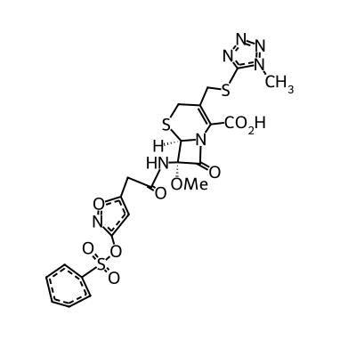 CO[C@@]1(NC(=O)Cc2cc(OS(=O)(=O)c3ccccc3)no2)C(=O)N2C(C(=O)O)=C(CSc3nnnn3C)CS[C@@H]21